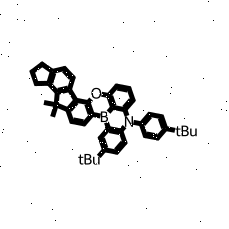 CC(C)(C)c1ccc(N2c3ccc(C(C)(C)C)cc3B3c4ccc5c(c4Oc4cccc2c43)-c2ccc3c(c2C5(C)C)CCC3)cc1